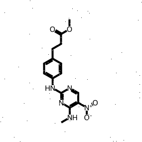 CNc1nc(Nc2ccc(CCC(=O)OC)cc2)ncc1[N+](=O)[O-]